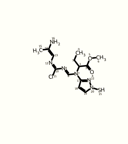 CCC(C(=O)OC)N(/C=N/C(Cl)=N\C=C(/C)N)c1ccn(S)n1